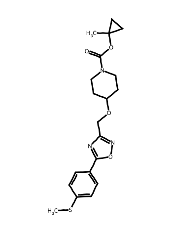 CSc1ccc(-c2nc(COC3CCN(C(=O)OC4(C)CC4)CC3)no2)cc1